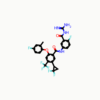 Cc1cc(F)ccc1Oc1cc(C(F)(F)F)c(C2CC2(F)F)cc1C(=O)Nc1ccc(F)c(C(=O)NC(=N)N)c1